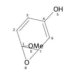 COC12C=CC(O)=CC1O2